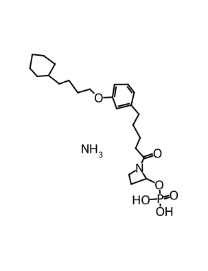 N.O=C(CCCCc1cccc(OCCCCC2CCCCC2)c1)N1CCC1OP(=O)(O)O